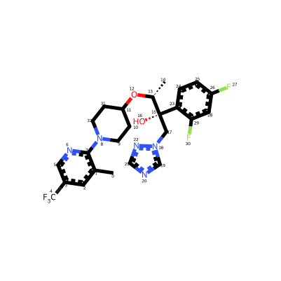 Cc1cc(C(F)(F)F)cnc1N1CCC(O[C@H](C)[C@](O)(Cn2cncn2)c2ccc(F)cc2F)CC1